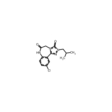 CC(C)Cn1nc2n(c1=O)CC(=O)Nc1ccc(Cl)cc1-2